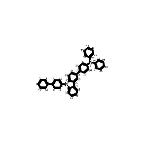 c1ccc(-c2ccc(-n3c4ccccc4c4cc(-c5ccc(N(c6ccccc6)c6ccccc6)cc5)ccc43)cc2)cc1